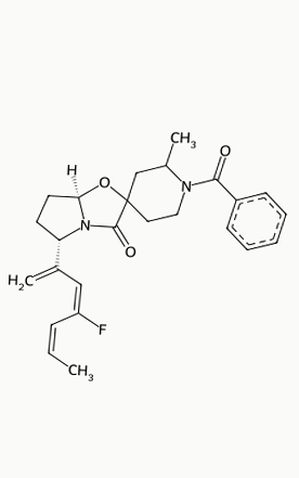 C=C(/C=C(F)\C=C/C)[C@@H]1CC[C@H]2OC3(CCN(C(=O)c4ccccc4)C(C)C3)C(=O)N21